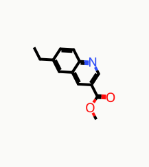 CCc1ccc2ncc(C(=O)OC)cc2c1